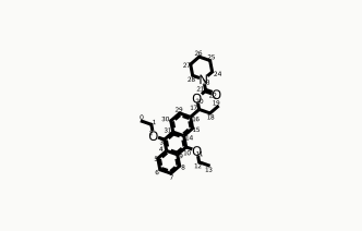 CCOc1c2ccccc2c(OCC)c2cc(C(CC)OC(=O)N3CCCCC3)ccc12